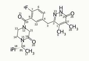 Cc1c(Cc2ccc(F)c(C(=O)N3CCN([C@H](C)C(C)C)C(=O)C3)c2)n[nH]c(=O)c1C